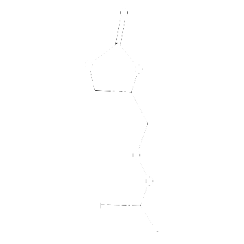 O=C1OCC(COOC(F)F)O1